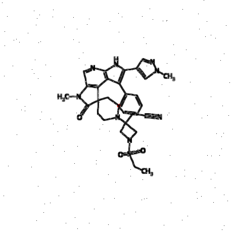 CCS(=O)(=O)N1CC(CC#N)(N2CCC3(CC2)C(=O)N(C)c2cnc4[nH]c(-c5cnn(C)c5)c(-c5ccccc5)c4c23)C1